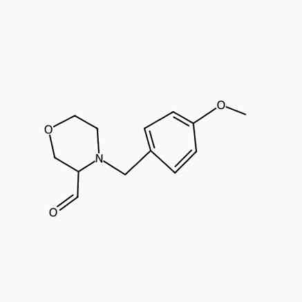 COc1ccc(CN2CCOCC2C=O)cc1